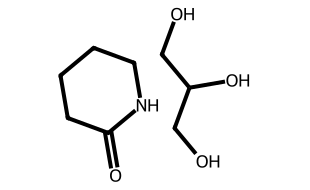 O=C1CCCCN1.OCC(O)CO